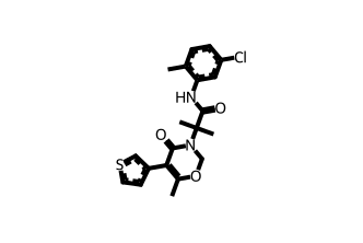 CC1=C(c2ccsc2)C(=O)N(C(C)(C)C(=O)Nc2cc(Cl)ccc2C)CO1